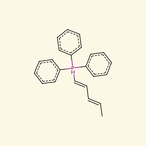 CC=CC=C[PH](c1ccccc1)(c1ccccc1)c1ccccc1